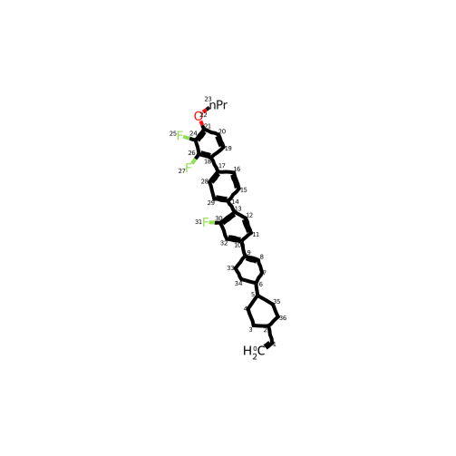 C=CC1CCC(C2CC=C(c3ccc(-c4ccc(-c5ccc(OCCC)c(F)c5F)cc4)c(F)c3)CC2)CC1